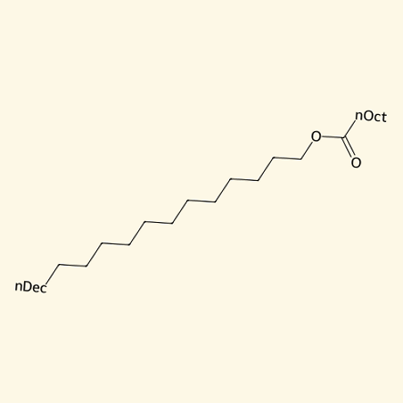 CCCCCCCCCCCCCCCCCCCCCCOC(=O)CCCCCCCC